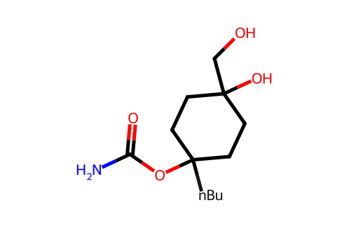 CCCCC1(OC(N)=O)CCC(O)(CO)CC1